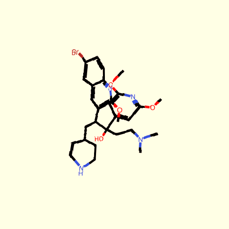 COc1cc(C(O)(CCN(C)C)C(CC2CCNCC2)c2cc3cc(Br)ccc3nc2OC)cc(OC)n1